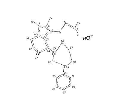 CC(C)=CCn1c(C)c(C)c2ccnc(N3CCCC(c4ccccc4)C3)c21.Cl